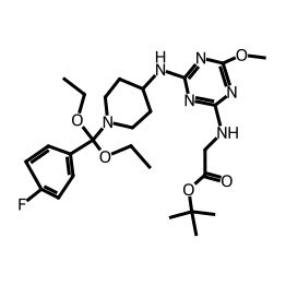 CCOC(OCC)(c1ccc(F)cc1)N1CCC(Nc2nc(NCC(=O)OC(C)(C)C)nc(OC)n2)CC1